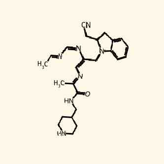 C/C=N/C=N\C(=C\N=C(/C)C(=O)NCC1CCNCC1)CN1c2ccccc2CC1CC#N